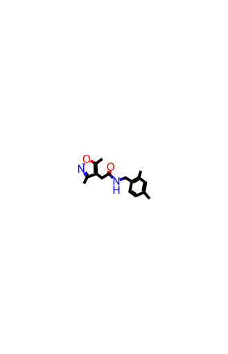 Cc1ccc(CNC(=O)Cc2c(C)noc2C)c(C)c1